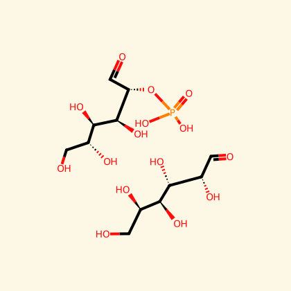 O=C[C@H](O)[C@@H](O)[C@@H](O)[C@H](O)CO.O=C[C@H](OP(=O)(O)O)[C@@H](O)[C@H](O)[C@H](O)CO